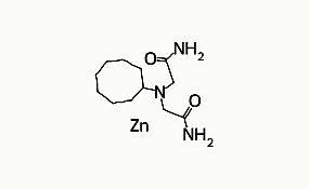 NC(=O)CN(CC(N)=O)C1CCCCCCC1.[Zn]